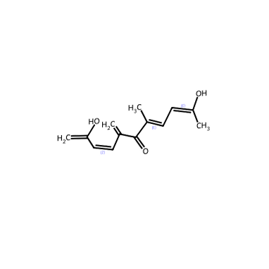 C=C(O)/C=C\C(=C)C(=O)/C(C)=C/C=C(\C)O